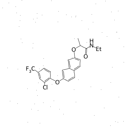 CCNC(=O)C(C)Oc1ccc2ccc(Oc3ccc(C(F)(F)F)cc3Cl)cc2c1